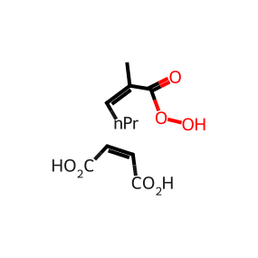 CCCC=C(C)C(=O)OO.O=C(O)/C=C\C(=O)O